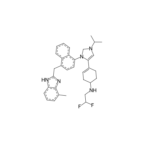 Cc1cccc2[nH]c(Cc3ccc(N4CN(C(C)C)C=C4C4=CCC(NCC(F)F)CC4)c4ccccc34)nc12